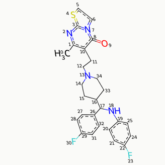 Cc1nc2sccn2c(=O)c1CCN1CCC(C(Nc2ccc(F)cc2)c2ccc(F)cc2)CC1